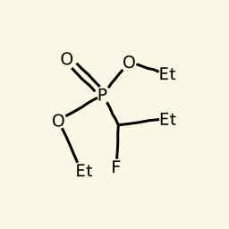 CCOP(=O)(OCC)C(F)CC